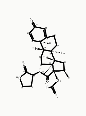 CCC(=O)O[C@]1(C(=O)SC2CCOC2=O)[C@H](C)C[C@H]2[C@@H]3CCC4=CC(=O)C=C[C@]4(C)[C@H]3CC[C@@]21C